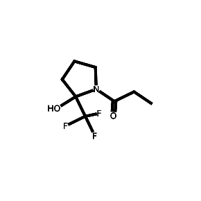 CCC(=O)N1CCCC1(O)C(F)(F)F